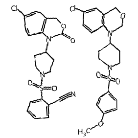 COc1ccc(S(=O)(=O)N2CCC(N3COCc4cc(Cl)ccc43)CC2)cc1.N#Cc1ccccc1S(=O)(=O)N1CCC(N2C(=O)OCc3cc(Cl)ccc32)CC1